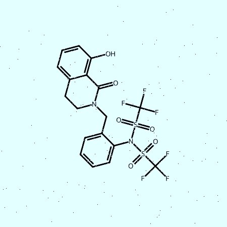 O=C1c2c(O)cccc2CCN1Cc1ccccc1N(S(=O)(=O)C(F)(F)F)S(=O)(=O)C(F)(F)F